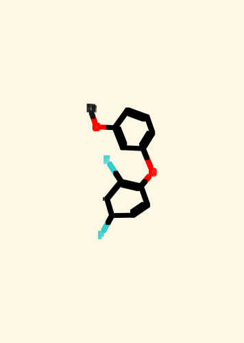 CCOc1cccc(OC2=C(F)[CH]C(F)C=C2)c1